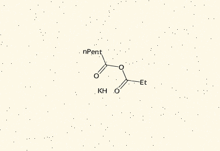 CCCCCC(=O)OC(=O)CC.[KH]